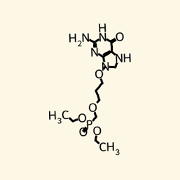 CCOP(=O)(COCCCON1CNc2c1nc(N)[nH]c2=O)OCC